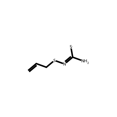 C=CCSN=C(N)[S]